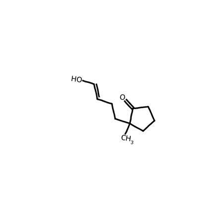 CC1(CCC=CO)CCCC1=O